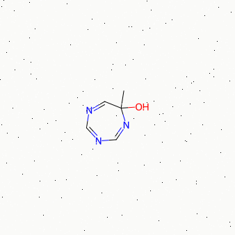 CC1(O)C=NC=NC=N1